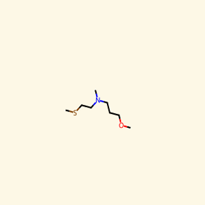 COCCCN(C)CCSC